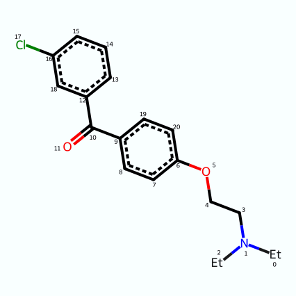 CCN(CC)CCOc1ccc(C(=O)c2cccc(Cl)c2)cc1